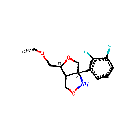 CCCOC[C@H]1OC[C@]2(c3cccc(F)c3F)NOCC12